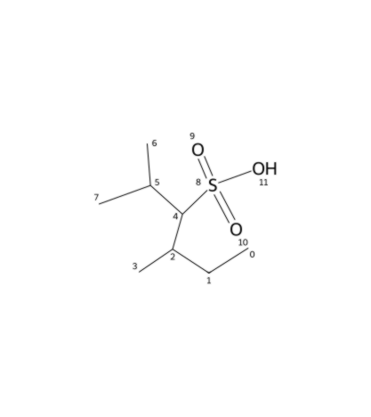 CCC(C)C(C(C)C)S(=O)(=O)O